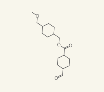 COCC1CCC(COC(=O)C2CCC(C=O)CC2)CC1